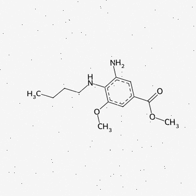 CCC[CH]Nc1c(N)cc(C(=O)OC)cc1OC